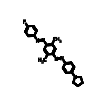 Cc1cc(/N=N/c2ccc(N3CCCC3)cc2)c(C)cc1/N=N/c1ccc(F)cc1